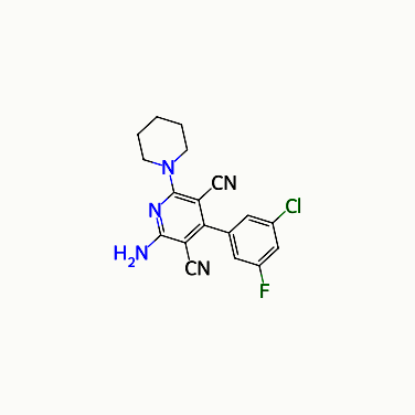 N#Cc1c(N)nc(N2CCCCC2)c(C#N)c1-c1cc(F)cc(Cl)c1